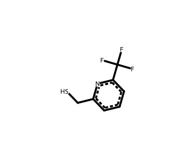 FC(F)(F)c1cccc(CS)n1